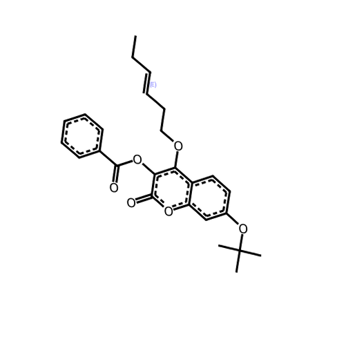 CC/C=C/CCOc1c(OC(=O)c2ccccc2)c(=O)oc2cc(OC(C)(C)C)ccc12